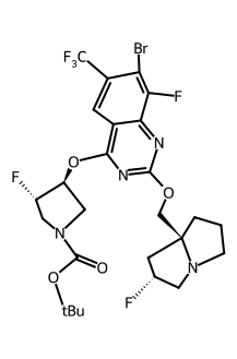 CC(C)(C)OC(=O)N1C[C@H](Oc2nc(OC[C@@]34CCCN3C[C@H](F)C4)nc3c(F)c(Br)c(C(F)(F)F)cc23)[C@@H](F)C1